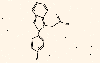 O=C(O)Cc1c2ccccc2nn1-c1ccc(Br)cc1